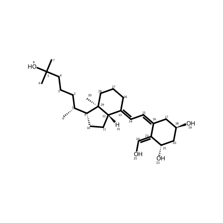 C[C@H](CCCC(C)(C)O)[C@H]1CC[C@H]2/C(=C/C=C3/C[C@@H](O)C[C@H](O)/C3=C\O)CCC[C@]12C